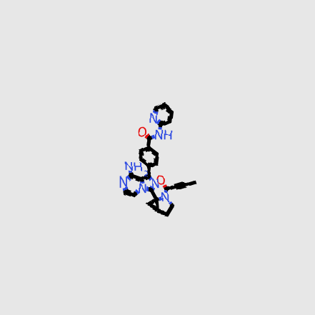 CC#CC(=O)N1CCC2CC21c1nc(-c2ccc(C(=O)Nc3ccccn3)cc2)c2c(N)nccn12